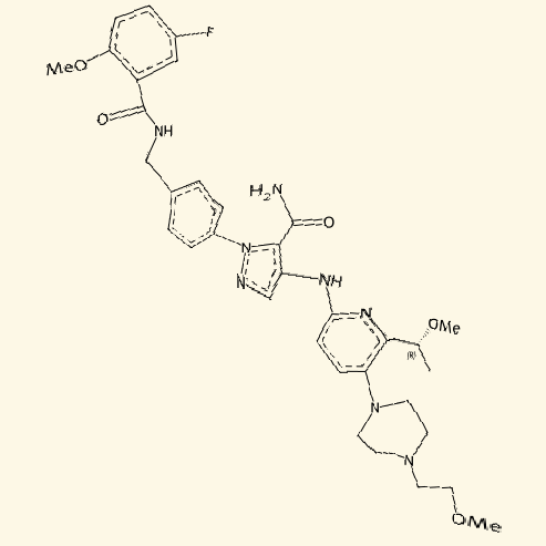 COCCN1CCN(c2ccc(Nc3cnn(-c4ccc(CNC(=O)c5cc(F)ccc5OC)cc4)c3C(N)=O)nc2[C@@H](C)OC)CC1